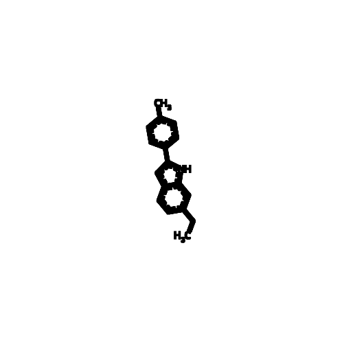 CCc1ccc2cc(-c3ccc(C)cc3)[nH]c2c1